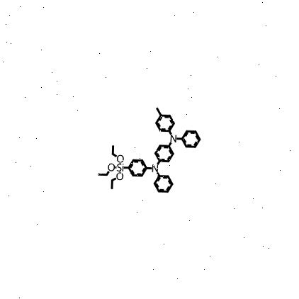 CCO[Si](OCC)(OCC)c1ccc(N(c2ccccc2)c2ccc(N(c3ccccc3)c3ccc(C)cc3)cc2)cc1